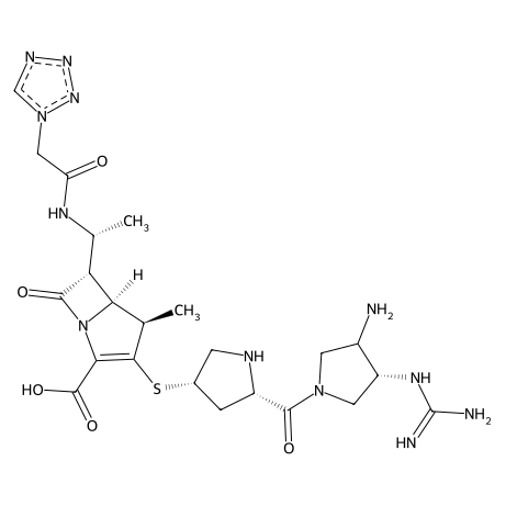 C[C@@H](NC(=O)Cn1cnnn1)[C@H]1C(=O)N2C(C(=O)O)=C(S[C@@H]3CN[C@H](C(=O)N4CC(N)[C@H](NC(=N)N)C4)C3)[C@H](C)[C@H]12